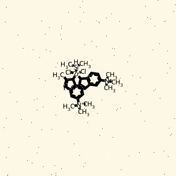 CC1=Cc2cc([N+](C)(C)C)ccc2[CH]1[Zr]([Cl])([Cl])([CH]1C(C)=Cc2cc([N+](C)(C)C)ccc21)[SiH](C)C